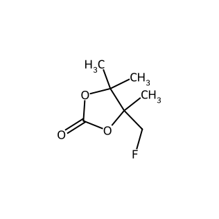 CC1(C)OC(=O)OC1(C)CF